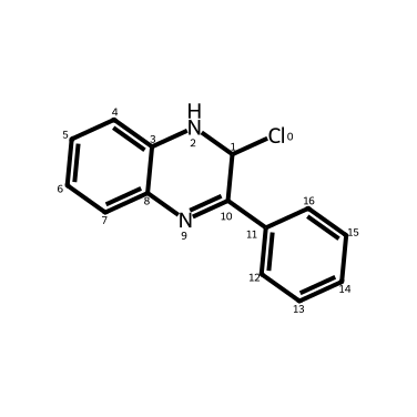 ClC1Nc2ccccc2N=C1c1ccccc1